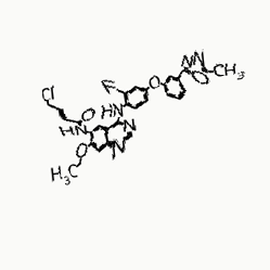 CCOc1cc2ncnc(Nc3ccc(Oc4cccc(-c5nnc(C)o5)c4)cc3F)c2cc1NC(=O)/C=C/CCl